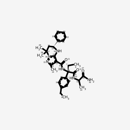 CCc1ccc([C@](CC)(NC(=O)c2c(C)nn3c2N[C@@H](c2ccccc2)CC3(C)C)C(=O)NC(C)C(N)=O)cc1